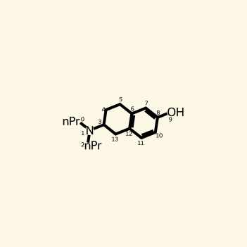 CCCN(CCC)C1CCc2cc(O)ccc2C1